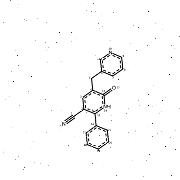 N#Cc1cc(Cc2cccnc2)c(=O)[nH]c1-c1ccccc1